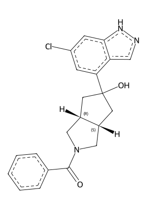 O=C(c1ccccc1)N1C[C@@H]2CC(O)(c3cc(Cl)cc4[nH]ncc34)C[C@@H]2C1